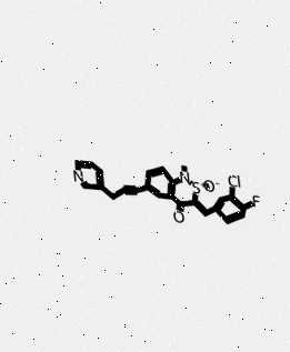 CN1c2ccc(C#CCc3cccnc3)cc2C(=O)/C(=C/c2ccc(F)c(Cl)c2)[S+]1[O-]